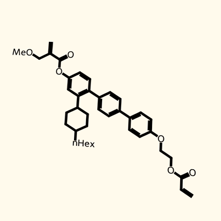 C=CC(=O)OCCOc1ccc(-c2ccc(-c3ccc(OC(=O)C(=C)COC)cc3C3CCC(CCCCCC)CC3)cc2)cc1